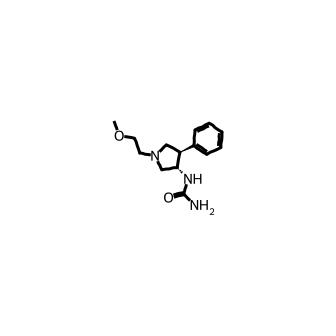 COCCN1C[C@@H](NC(N)=O)[C@H](c2ccccc2)C1